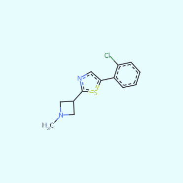 CN1CC(c2ncc(-c3ccccc3Cl)s2)C1